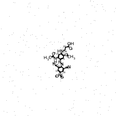 COc1cc(N=Nc2c(C#N)cc([N+](=O)[O-])cc2C#N)c(NC(C)=O)cc1NCCC(=O)O